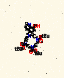 CC(C)(C)OC(=O)N1CCCN(Cc2ccc(O)c3ncccc23)CCCN(C(=O)OC(C)(C)C)CCN(C(=O)OC(C)(C)C)CCC1